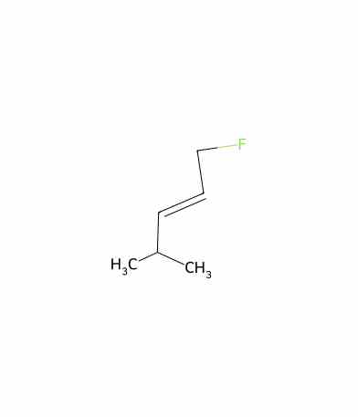 CC(C)C=CCF